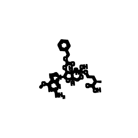 COc1nc(N)nc2c1ncn2[C@@H]1O[C@@H]2CO[PH](O)(OCC[C@@H](C)C(=O)O)O[C@H]2[C@@H]1OC(=O)OCc1ccccc1